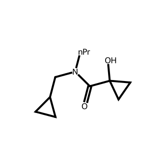 CCCN(CC1CC1)C(=O)C1(O)CC1